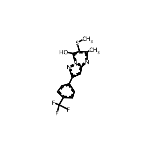 CSc1c(C)nc2cc(-c3ccc(C(F)(F)F)cc3)nn2c1O